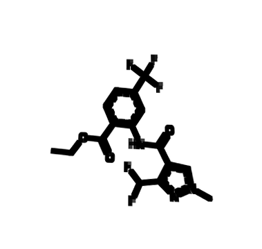 CCOC(=O)c1ccc(C(F)(F)F)cc1NC(=O)c1cn(C)nc1C(F)F